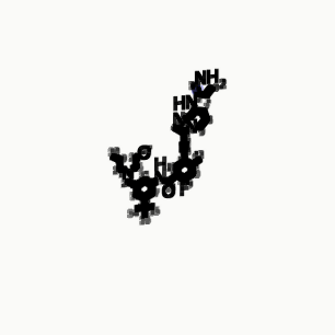 C=C/C(=C\N)Nc1cccn2c(C#Cc3cc(C(=O)Nc4cc(CN(CC=O)CCC)cc(C(C)(C)C)c4)c(F)cc3C)cnc12